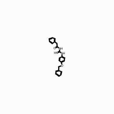 N=C(NC(=O)Cc1ccccc1)Nc1ccc(OCc2ccccc2)cc1